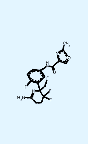 Cc1nc(C(=O)Nc2ccc(F)c(C3(CF)N=C(N)CCC3(F)F)c2)co1